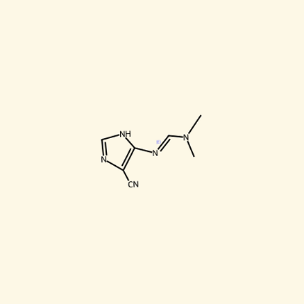 CN(C)/C=N/c1[nH]cnc1C#N